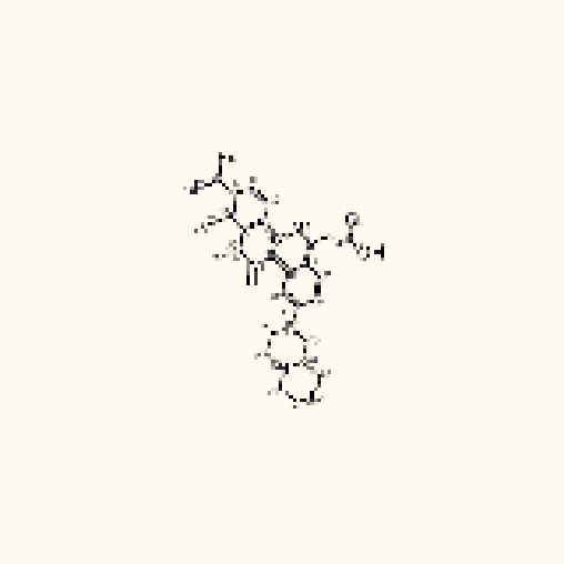 Cc1nnc(N[C@H](C)c2cccc(C(F)F)c2F)c2cc(N3CCN4CCOCC4C3)ccc12.O=CO